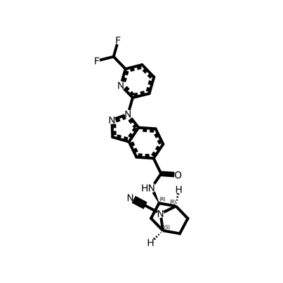 N#CN1[C@H]2CC[C@@H]1[C@H](NC(=O)c1ccc3c(cnn3-c3cccc(C(F)F)n3)c1)C2